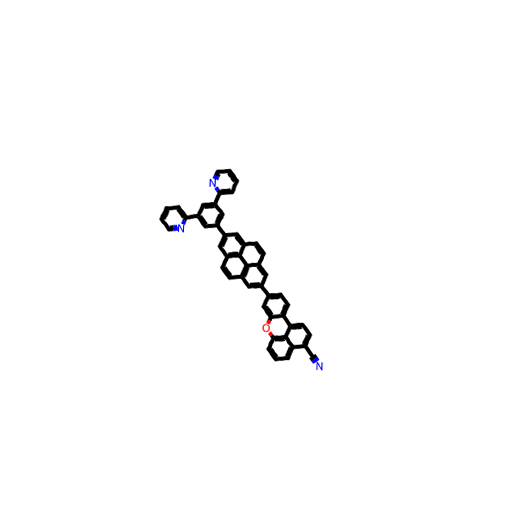 N#Cc1ccc2c3c(cccc13)Oc1cc(-c3cc4ccc5cc(-c6cc(-c7ccccn7)cc(-c7ccccn7)c6)cc6ccc(c3)c4c56)ccc1-2